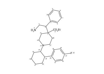 CCOC(=O)C1(C(C[N+](=O)[O-])c2ccccc2)CCN(C2CCCCC2c2ccc(F)cc2)CC1